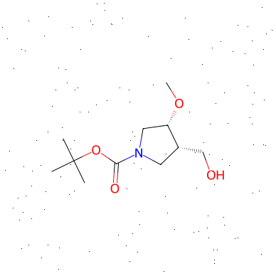 CO[C@H]1CN(C(=O)OC(C)(C)C)C[C@H]1CO